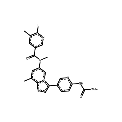 COC(=O)Nc1ccc(-c2cnc3c(C)cc(N(C)C(=O)c4cnc(F)c(C)c4)cn23)cn1